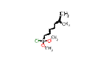 CO[Si](Cl)(CCCCCC(C)C)OC